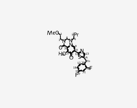 COCCN1CN(CC(C)C)n2cc(-c3ncc(Cc4ccc(F)cc4F)s3)c(=O)c(O)c2C1=O